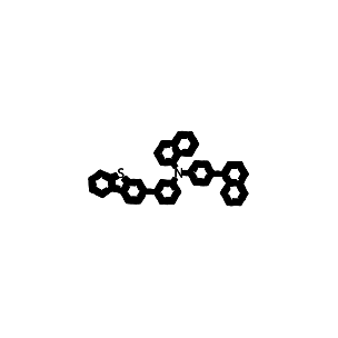 c1cc(-c2ccc3c(c2)sc2ccccc23)cc(N(c2ccc(-c3cccc4ccccc34)cc2)c2cccc3ccccc23)c1